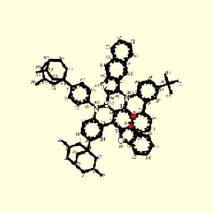 CC1CC2CC(C)CC(c3ccc4c(c3)-c3c5c(cc6c3oc3ccccc36)N(c3ccc(C(C)(C)C)cc3-c3ccccc3)c3c(sc6cc7ccccc7cc36)B5N4c3ccc(C45CCC(CC(C)C4)C(C)C5)cc3)(C1)C2